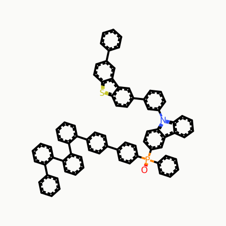 O=P(c1ccccc1)(c1ccc(-c2ccc(-c3ccccc3-c3ccccc3-c3ccccc3-c3ccccc3)cc2)cc1)c1ccc2c(c1)c1ccccc1n2-c1cccc(-c2ccc3sc4ccc(-c5ccccc5)cc4c3c2)c1